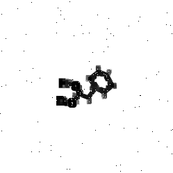 CCOP(Cc1ccccc1)OCC